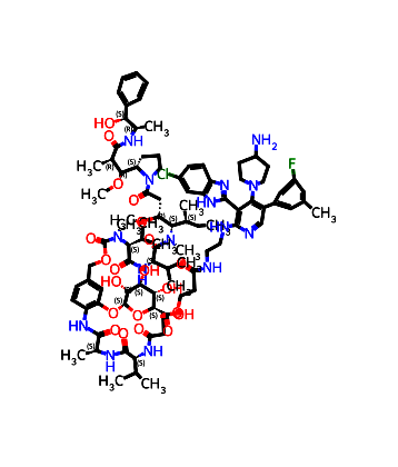 CC[C@H](C)[C@@H]([C@@H](CC(=O)N1CCC[C@H]1[C@H](OC)[C@@H](C)C(=O)N[C@H](C)[C@@H](O)c1ccccc1)OC)N(C)C(=O)[C@@H](NC(=O)[C@H](C(C)C)N(C)C(=O)OCc1ccc(NC(=O)[C@H](C)NC(=O)[C@@H](NC(=O)CCOCCC(=O)NCCNc2ncc(-c3cc(C)cc(F)c3)c(N3CCC(N)CC3)c2-c2nc3ccc(Cl)cc3[nH]2)C(C)C)c(O[C@@H]2O[C@H](C(=O)O)[C@@H](O)[C@H](O)[C@H]2O)c1)C(C)C